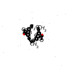 CC1(C)CN(c2ccc3c(c2)Oc2cc(N4CC(C)(CC5CN(c6ccc7c(c6)Oc6cc(N8CCC8)ccc6C76OC(=O)c7ccccc76)C5)C4)ccc2C32OC(=O)c3ccccc32)C1